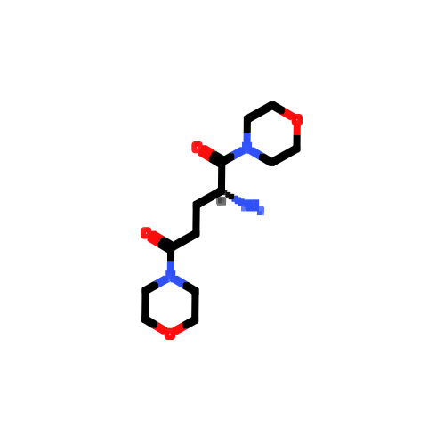 N[C@H](CCC(=O)N1CCOCC1)C(=O)N1CCOCC1